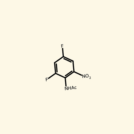 CC(=O)Nc1c(F)cc(F)cc1[N+](=O)[O-]